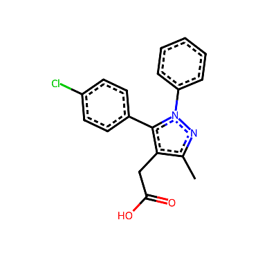 Cc1nn(-c2ccccc2)c(-c2ccc(Cl)cc2)c1CC(=O)O